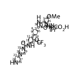 CO[C@H]1C[C@@H](c2nc(-c3ccc(-c4ccc(NC(=O)N5CCN(C6CCNCC6)CC5)cc4OC(F)(F)F)cc3)c[nH]2)N(C(=O)[C@@H](NC(=O)O)C(C)C)C1